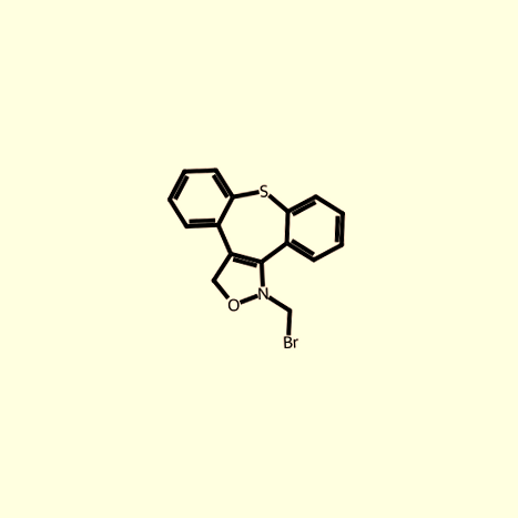 BrCN1OCC2=C1c1ccccc1Sc1ccccc12